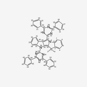 CC1(C)c2ccccc2-n2c(-c3nc(-c4ccccc4)nc(-c4ccccc4)n3)c3c4ccccc4n(-c4nc(-c5ccccc5)nc(-c5ccccc5)n4)c3c21